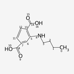 CCCCNc1cc(C(=O)O)ccc1C(=O)O